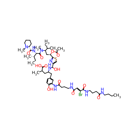 CCCCNC(=O)CCCNC(=O)/C(Br)=C/C(=O)NCCCC(=O)Nc1cc(CC(CC(C)C(=O)O)NC(O)c2csc([C@@H](CC(C(C)C)N(C)C(=O)[C@@H](NC(=O)[C@H]3CCCCN3C)[C@@H](C)CC)OC(C)=O)n2)ccc1O